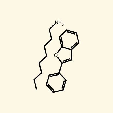 CCCCCCCCN.c1ccc(-c2cc3ccccc3o2)cc1